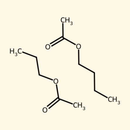 CCCCOC(C)=O.CCCOC(C)=O